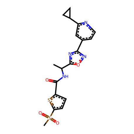 CC(NC(=O)c1ccc(S(C)(=O)=O)s1)c1nc(-c2ccnc(C3CC3)c2)no1